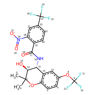 CC1(C)Oc2ccc(OC(F)(F)F)cc2[C@@H](NC(=O)c2ccc(C(F)(F)F)cc2[N+](=O)[O-])[C@@H]1O